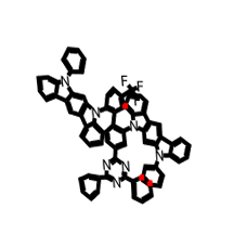 FC(F)(F)c1ccc(-n2c3ccccc3c3cc4c5ccccc5n(-c5ccccc5)c4cc32)c(-c2ccc(-c3nc(-c4ccccc4)nc(-c4ccccc4)n3)cc2-n2c3ccccc3c3cc4c5ccccc5n(-c5ccccc5)c4cc32)c1